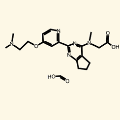 CN(C)CCOc1ccnc(-c2nc3c(c(N(C)CC(=O)O)n2)CCC3)c1.O=CO